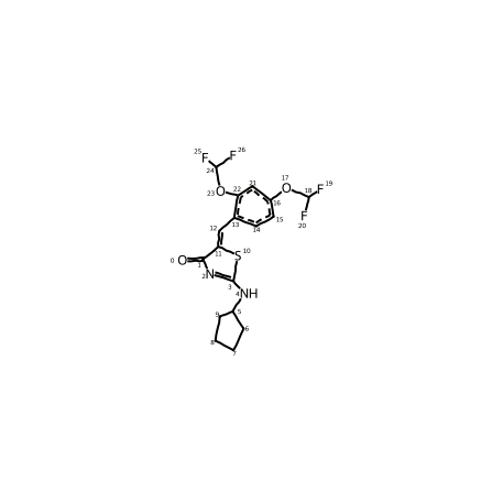 O=C1N=C(NC2CCCC2)S/C1=C\c1ccc(OC(F)F)cc1OC(F)F